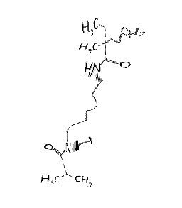 CCC(C)(CC)C(=O)NCCCCCCNC(=O)C(C)C